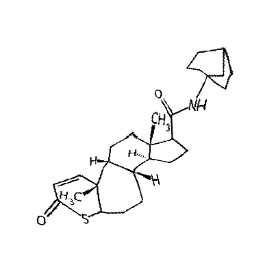 C[C@]12C=CC(=O)SC1CC[C@@H]1[C@H]2CC[C@]2(C)C(C(=O)NC34CCC(CC3)C4)CC[C@@H]12